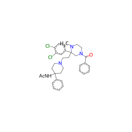 CC(=O)NC1(c2ccccc2)CCN(CCC2(c3ccc(Cl)c(Cl)c3)CN(C(=O)c3ccccc3)CCN2C)CC1